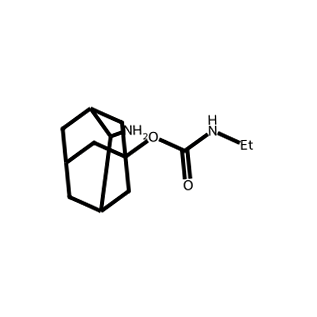 CCNC(=O)OC12CC3CC(C1)C(N)C(C3)C2